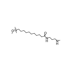 CNCCCNC(=O)CCCCCCCCCC[Si](C)(C)OC